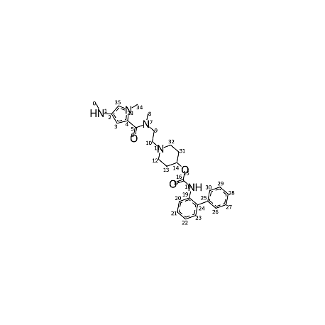 CNc1cc(C(=O)N(C)CCN2CCC(OC(=O)Nc3ccccc3-c3ccccc3)CC2)n(C)c1